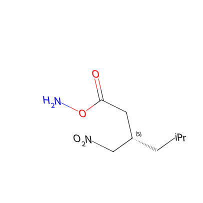 CC(C)C[C@@H](CC(=O)ON)C[N+](=O)[O-]